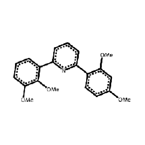 COc1ccc(-c2cccc(-c3cccc(OC)c3OC)n2)c(OC)c1